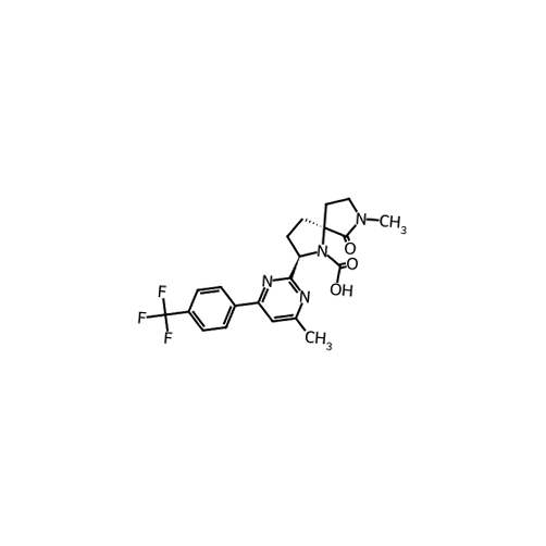 Cc1cc(-c2ccc(C(F)(F)F)cc2)nc([C@H]2CC[C@@]3(CCN(C)C3=O)N2C(=O)O)n1